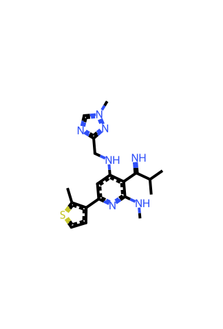 CNc1nc(-c2ccsc2C)cc(NCc2ncn(C)n2)c1C(=N)C(C)C